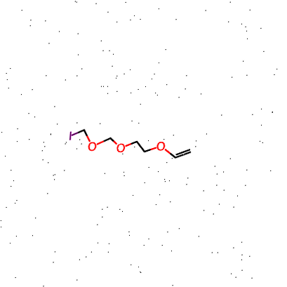 C=COCCOCOCI